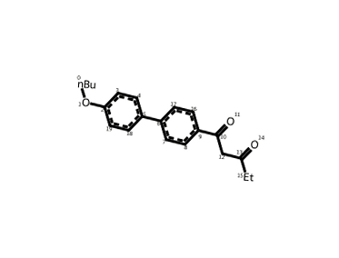 CCCCOc1ccc(-c2ccc(C(=O)CC(=O)CC)cc2)cc1